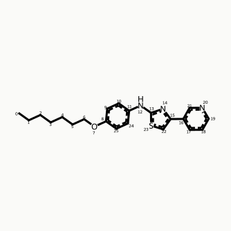 CCCCCCCOc1ccc(Nc2nc(-c3cccnc3)cs2)cc1